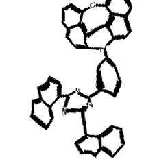 c1cc(-c2nc(-c3cccc4ccccc34)nc(-c3cccc4ccccc34)n2)cc(-n2c3ccc4cccc5oc6cccc7ccc2c(c76)c3c45)c1